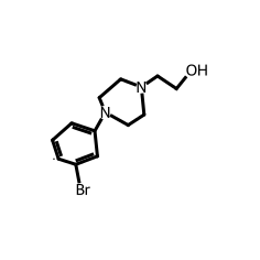 OCCN1CCN(c2cc[c]c(Br)c2)CC1